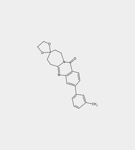 Cc1cccc(-c2ccc3c(=O)n4c(nc3c2)CCC2(CC4)OCCO2)c1